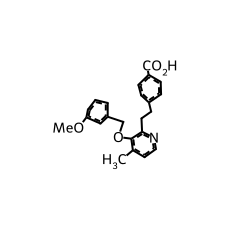 COc1cccc(COc2c(C)ccnc2CCc2ccc(C(=O)O)cc2)c1